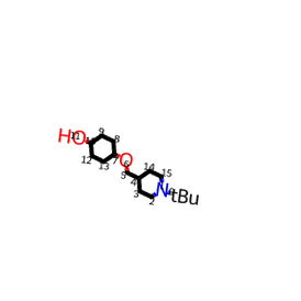 CC(C)(C)N1CCC(COC2CCC(O)CC2)CC1